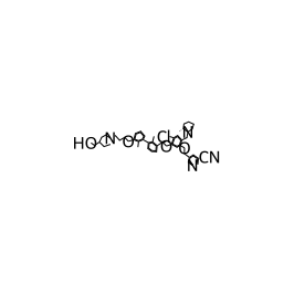 Cc1c(COc2cc(OCc3cncc(C#N)c3)c(CN3CCCC[C@H]3C)cc2Cl)cccc1-c1cccc(OCCCN2CCC(CO)CC2)c1C